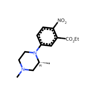 CCOC(=O)c1cc(N2CCN(C)C[C@H]2C)ccc1[N+](=O)[O-]